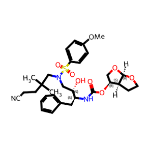 COc1ccc(S(=O)(=O)N(C[C@H](O)[C@H](Cc2ccccc2)NC(=O)O[C@H]2CO[C@H]3OCC[C@H]32)CC(C)(C)CCC#N)cc1